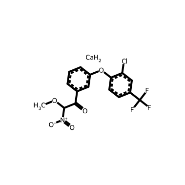 COC(C(=O)c1cccc(Oc2ccc(C(F)(F)F)cc2Cl)c1)[N+](=O)[O-].[CaH2]